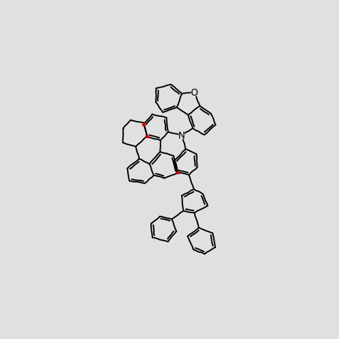 c1ccc(-c2ccc(-c3ccc(N(c4ccccc4-c4cccc5cccc(C6CCCCC6)c45)c4cccc5oc6ccccc6c45)cc3)cc2-c2ccccc2)cc1